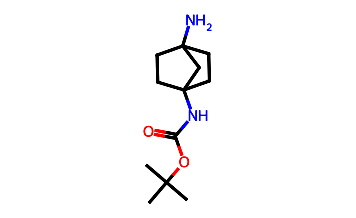 CC(C)(C)OC(=O)NC12CCC(N)(CC1)C2